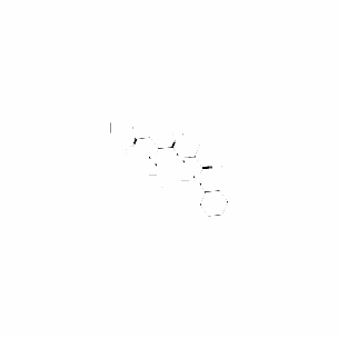 CC(NC(=O)C(N)CC(=O)O)C(=O)NC1CCCCC1